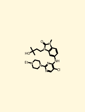 CCN1CCN(c2ncc(Cl)c(Nc3ccc4c(c3)n(CCC(C)(C)O)c(=O)n4C)n2)CC1